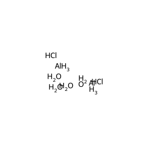 Cl.Cl.O.O.O.O.[AlH3].[AlH3]